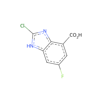 O=C(O)c1cc(F)cc2[nH]c(Cl)nc12